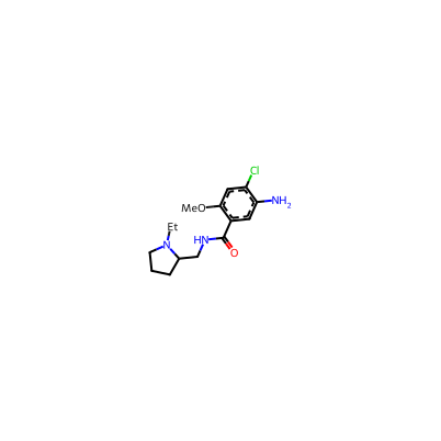 CCN1CCCC1CNC(=O)c1cc(N)c(Cl)cc1OC